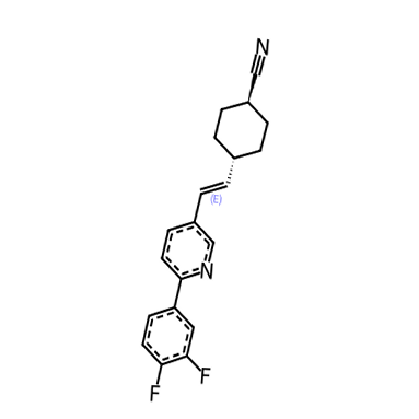 N#C[C@H]1CC[C@H](/C=C/c2ccc(-c3ccc(F)c(F)c3)nc2)CC1